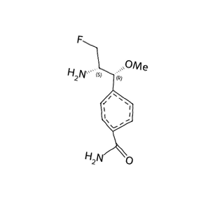 CO[C@H](c1ccc(C(N)=O)cc1)[C@H](N)CF